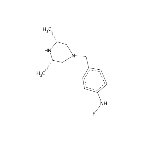 C[C@@H]1CN(Cc2ccc(NF)cc2)C[C@H](C)N1